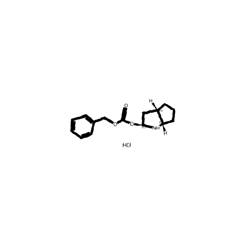 Cl.O=C(OCc1ccccc1)O[C@H]1C[C@@H]2CCC[C@@H]2N1